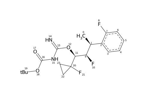 C[C@@H](c1ccccc1F)[C@@H](F)[C@H](OC(=N)NC(=O)OC(C)(C)C)C1(F)CC1